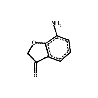 Nc1cccc2c1OCC2=O